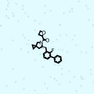 O=C(C1CCO1)N1CC2(CC2)C[C@@H]1Cc1cccc(-c2ccccc2)c1F